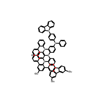 CC(C)(C)c1cc(-c2ccccc2)c(N2c3cc(-n4c5ccc(C(C)(C)C)cc5c5cc(C(C)(C)C)ccc54)ccc3B3c4ccc(N(c5ccccc5)c5ccc(-n6c7ccccc7c7ccccc76)cc5)cc4N(c4ccccc4-c4ccccc4)c4cc(C(C)(C)C)cc2c43)c(-c2ccccc2)c1